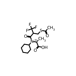 CC(=O)SCC(C(=O)N(C1CCCCC1)[C@@H](C)C(=O)O)C(F)(F)F